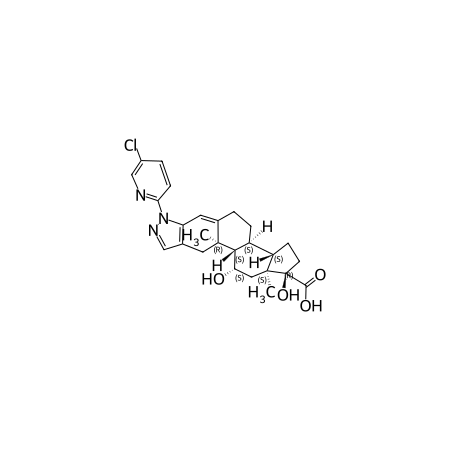 C[C@]12Cc3cnn(-c4ccc(Cl)cn4)c3C=C1CC[C@@H]1[C@@H]2[C@@H](O)C[C@@]2(C)[C@H]1CC[C@]2(O)C(=O)O